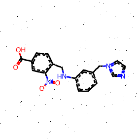 O=C(O)c1ccc(CNc2cccc(Cn3ccnc3)c2)c([N+](=O)[O-])c1